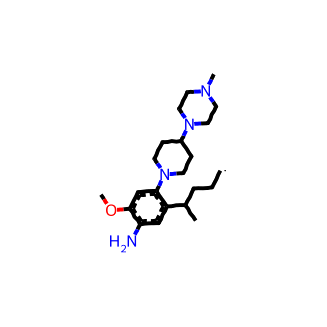 [CH2]CCC(C)c1cc(N)c(OC)cc1N1CCC(N2CCN(C)CC2)CC1